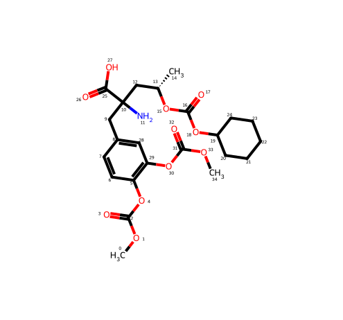 COC(=O)Oc1ccc(CC(N)(C[C@H](C)OC(=O)OC2CCCCC2)C(=O)O)cc1OC(=O)OC